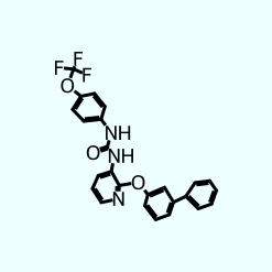 O=C(Nc1ccc(OC(F)(F)F)cc1)Nc1cccnc1Oc1cccc(-c2ccccc2)c1